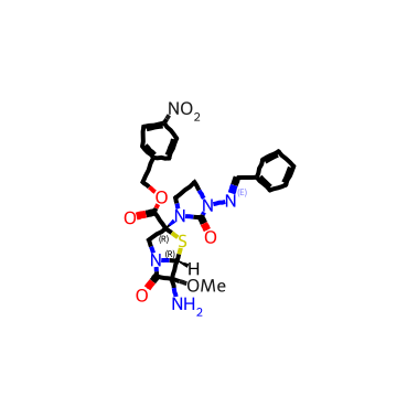 COC1(N)C(=O)N2C[C@@](C(=O)OCc3ccc([N+](=O)[O-])cc3)(N3CCN(/N=C/c4ccccc4)C3=O)S[C@@H]21